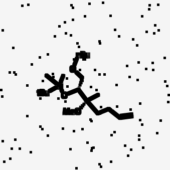 C=CCC[C@@](C)(OC)[C@@H](COCCCC)O[Si](C)(C)C(C)(C)C